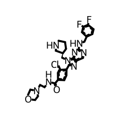 O=C(NCCN1CCOCC1)c1ccc(-c2nc3cnc(NCc4ccc(F)c(F)c4)nc3n2C[C@@H]2CCCNC2)c(Cl)c1